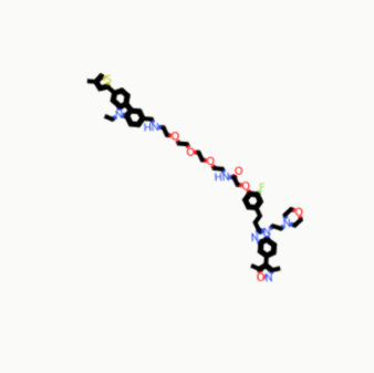 CCn1c2ccc(CNCCOCCOCCOCCNC(=O)COc3ccc(CCc4nc5cc(-c6c(C)noc6C)ccc5n4CCN4CCOCC4)cc3F)cc2c2ccc(-c3cc(C)cs3)cc21